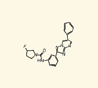 O=C(Nc1cccc(-c2nc3ncc(-c4ccccc4)cn3n2)c1)N1CCC(F)C1